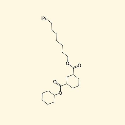 CC(C)CCCCCCCOC(=O)C1CCCC(C(=O)OC2CCCCC2)C1